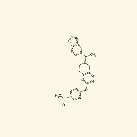 CC(c1ccc2scnc2c1)N1CCc2nc(Oc3ccc([S+](C)[O-])cn3)ncc2C1